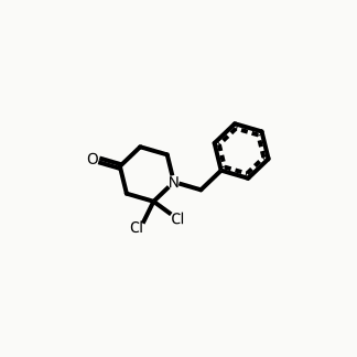 O=C1CCN(Cc2ccccc2)C(Cl)(Cl)C1